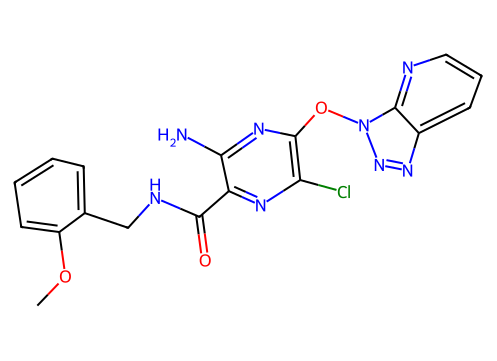 COc1ccccc1CNC(=O)c1nc(Cl)c(On2nnc3cccnc32)nc1N